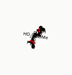 CO/N=C(\C(=O)N[C@@H]1C(=O)N2C(C(=O)O)=C(COCc3cn(CCF)c4c(F)c(N5CCN(C)CC5)c(F)cc4c3=O)CS[C@H]12)c1csc(NC(c2ccccc2)(c2ccccc2)c2ccccc2)n1